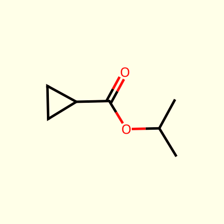 CC(C)OC(=O)C1CC1